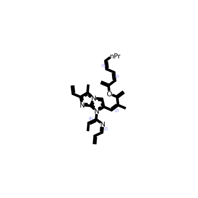 C=C/C=N\C(=C/C)n1c(/C=C(/C)C(=C)OC(=C)/C=C\C=C/CCC)cn2c(C)c(C=C)nc12